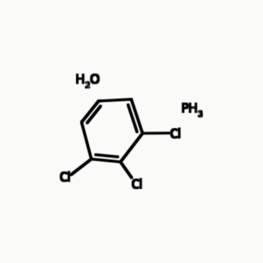 Clc1cccc(Cl)c1Cl.O.P